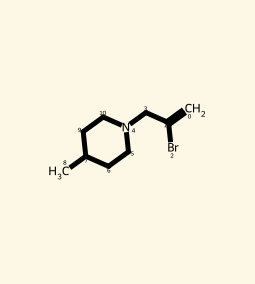 C=C(Br)CN1CCC(C)CC1